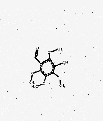 COc1c(O)c(OC)c(OC)c(OC)c1C=O